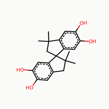 CC1(C)CC2(c3cc(O)c(O)cc3CC2(C)C)c2cc(O)c(O)cc21